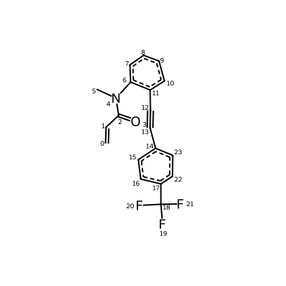 C=CC(=O)N(C)c1ccccc1C#Cc1ccc(C(F)(F)F)cc1